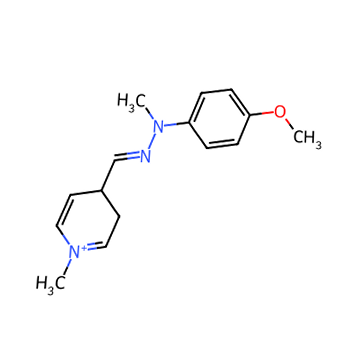 COc1ccc(N(C)N=CC2C=C[N+](C)=CC2)cc1